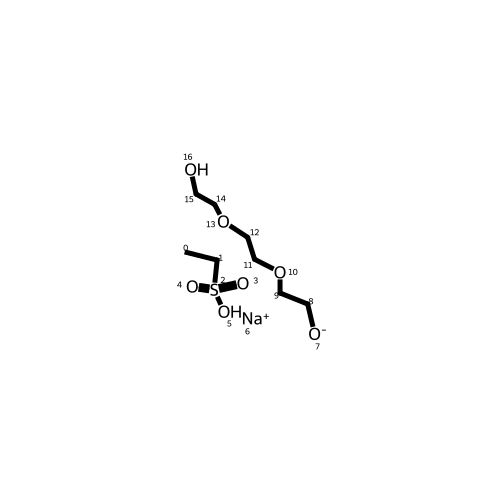 CCS(=O)(=O)O.[Na+].[O-]CCOCCOCCO